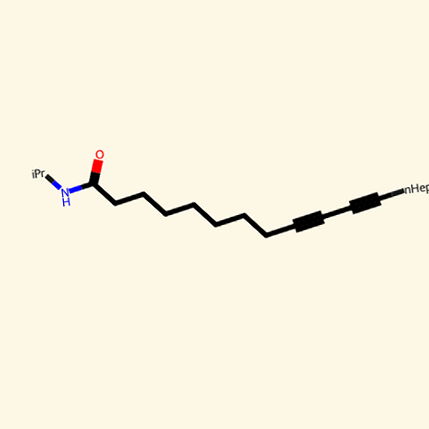 CCCCCCCC#CC#CCCCCCCCC(=O)NC(C)C